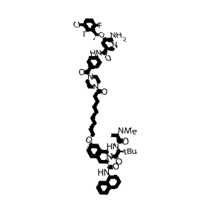 CN[C@@H](C)C(=O)N[C@H](C(=O)N1Cc2cc(OCCCCCCCCC(=O)N3CCN(C(=O)c4ccc(NC(=O)c5cnc(N)c(O[C@H](C)c6c(F)ccc(Cl)c6F)c5)cc4)CC3)ccc2C[C@H]1C(=O)N[C@@H]1CCCc2ccccc21)C(C)(C)C